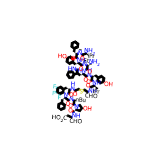 CCCC[C@@H](C(=O)N1C[C@H](O)C[C@@H]1C(=O)N[C@H](C=O)CC(=O)O)N(C)C(=O)[C@H](Cc1ccccc1)N(C)C(=O)[C@H](Cc1cc(F)c(F)c(F)c1)NC(=O)CSC[C@@H](C=O)NC(=O)[C@H](CC(C)C)NC(=O)[C@H](Cc1ccc(O)cc1)NC(=O)[C@H](Cc1c[nH]c2ccccc12)NC(=O)[C@@H](CN)N(CC)C(=O)[C@H](Cc1ccc(O)cc1)NC(=O)[C@H](Cc1ccccc1)N(C)C(=O)[C@@H](N)C(C)C